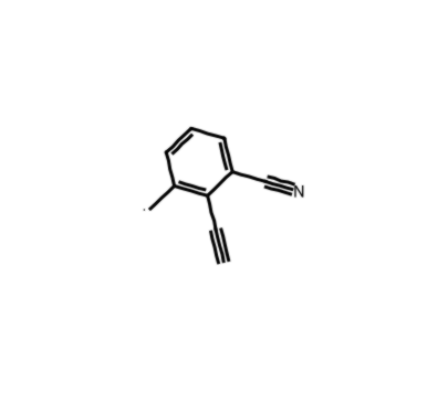 C#Cc1c([CH2])cccc1C#N